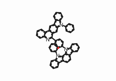 c1ccc(-n2c3ccccc3c3cc4c(cc32)c(-c2ccc(-n3c5ccccc5c5ccc6c7ccccc7n(-c7ccccc7)c6c53)cc2)nc2ccccc24)cc1